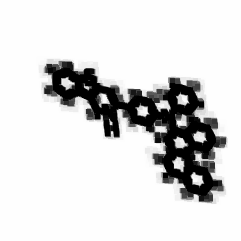 C1=C(c2ccc(N(c3ccccc3)c3cc4ccc5ccccc5c4c4ccccc34)cc2)NCc2c1sc1ccccc21